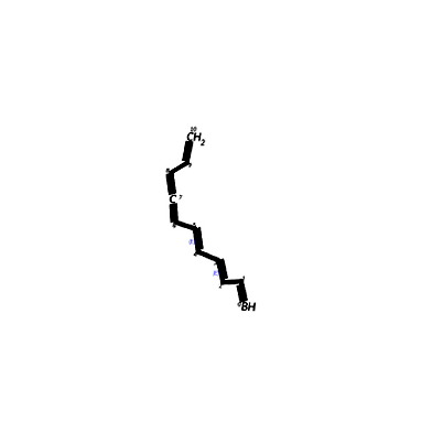 B=C/C=C/C=C/C=C=CC=C